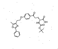 Cc1oc(-c2ccccc2)nc1CCOc1ccc(C(=O)CC[C@H](NC(=O)OC(C)(C)C)C(=O)O)cc1